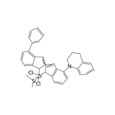 CC1=Cc2c(-c3ccccc3)cccc2[CH]1[Zr]([Cl])([Cl])([CH]1C(C)=Cc2c1cccc2N1CCCc2ccccc21)=[Si](C)C